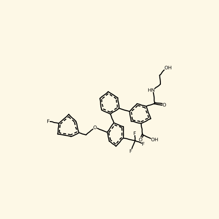 O=C(O)c1cc(C(=O)NCCO)cc(-c2ccccc2-c2cc(C(F)(F)F)ccc2OCc2ccc(F)cc2)c1